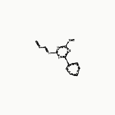 C=CC=Nc1nc(N=C)nc(-c2ccccc2)n1